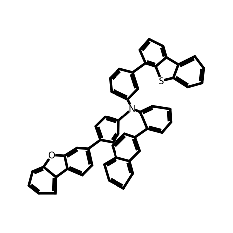 c1cc(-c2cccc3c2sc2ccccc23)cc(N(c2ccc(-c3ccc4c(c3)oc3ccccc34)cc2)c2ccccc2-c2ccc3ccccc3c2)c1